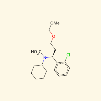 COCOCC[C@@H](c1ccccc1Cl)N(C(=O)O)C1CCCCC1